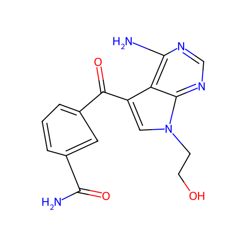 NC(=O)c1cccc(C(=O)c2cn(CCO)c3ncnc(N)c23)c1